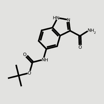 CC(C)(C)OC(=O)Nc1ccc2[nH]nc(C(N)=O)c2c1